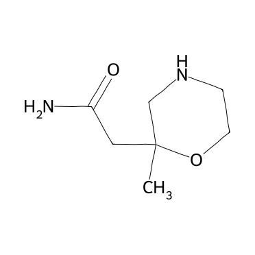 CC1(CC(N)=O)CNCCO1